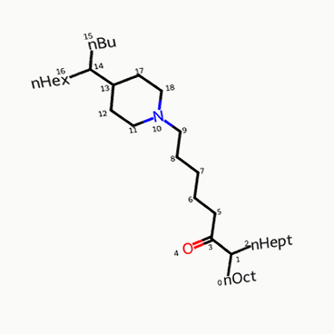 CCCCCCCCC(CCCCCCC)C(=O)CCCCCN1CCC(C(CCCC)CCCCCC)CC1